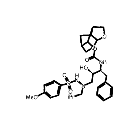 COc1ccc(S(=O)(=O)NN(CC(C)C)C[C@@H](O)[C@H](Cc2ccccc2)NC(=O)OC2C3COC4OCC2C4C3)cc1